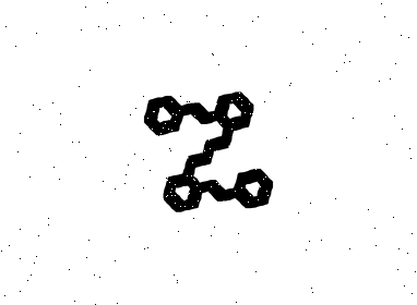 C(C=Cc1ccccc1C=Cc1ccccc1)=Cc1ccccc1C=Cc1ccccc1